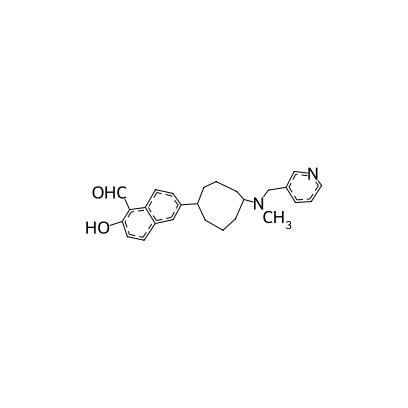 CN(Cc1cccnc1)C1CCCC(c2ccc3c(C=O)c(O)ccc3c2)CCC1